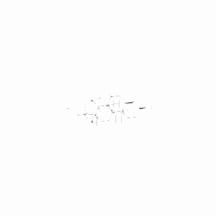 COC[C@@]1(O)C[C@@H]2C[C@]23[C@H]2[C@H](CC[C@]13C)[C@H]1CCC(=O)C=C1C[C@H]2C